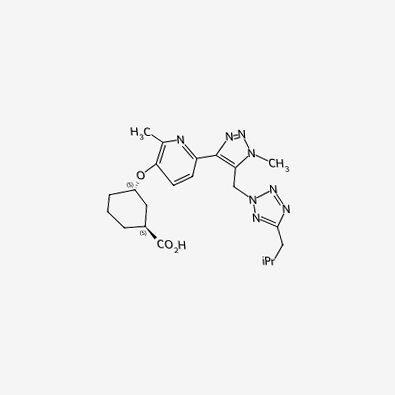 Cc1nc(-c2nnn(C)c2Cn2nnc(CC(C)C)n2)ccc1O[C@H]1CCC[C@H](C(=O)O)C1